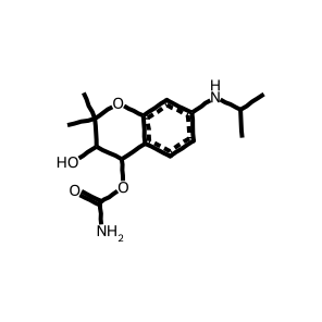 CC(C)Nc1ccc2c(c1)OC(C)(C)C(O)C2OC(N)=O